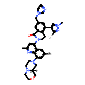 CCc1cc(N2CCN3CCOC[C@H]3C2)c2nc(C)cc(N3CCc4c(cc(Cn5ccnc5)cc4-c4cn(C)nc4C(F)(F)F)C3=O)c2c1